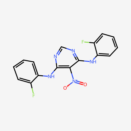 O=[N+]([O-])c1c(Nc2ccccc2F)ncnc1Nc1ccccc1F